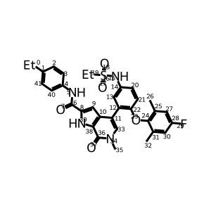 CCc1ccc(NC(=O)c2cc3c(-c4cc(NS(=O)(=O)CC)ccc4Oc4c(C)cc(F)cc4C)cn(C)c(=O)c3[nH]2)cc1